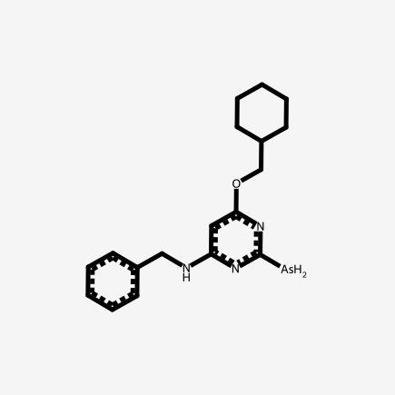 [AsH2]c1nc(NCc2ccccc2)cc(OCC2CCCCC2)n1